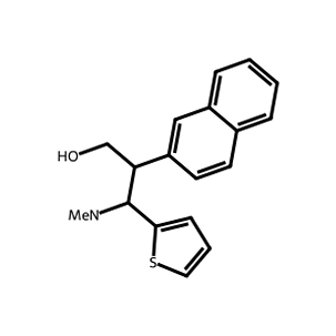 CNC(c1cccs1)C(CO)c1ccc2ccccc2c1